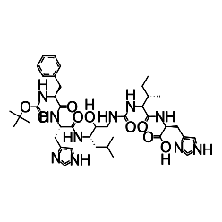 CC[C@H](C)[C@H](NC(=O)NCC(O)[C@H](CC(C)C)NC(=O)[C@H](Cc1c[nH]cn1)NC(=O)[C@H](Cc1ccccc1)NC(=O)OC(C)(C)C)C(=O)N[C@@H](Cc1c[nH]cn1)C(=O)O